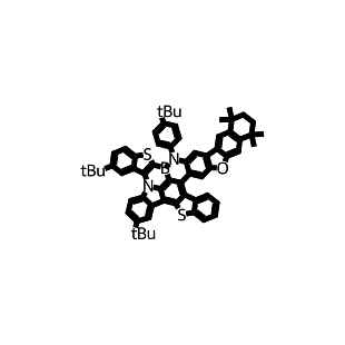 CC(C)(C)c1ccc(N2B3c4sc5ccc(C(C)(C)C)cc5c4-n4c5ccc(C(C)(C)C)cc5c5c6sc7ccccc7c6c(c3c54)-c3cc4oc5cc6c(cc5c4cc32)C(C)(C)CCC6(C)C)cc1